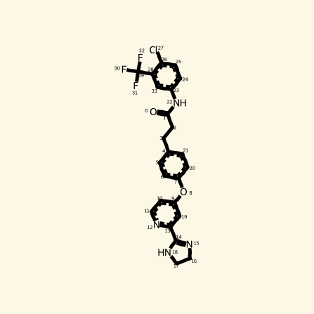 O=C(CCc1ccc(Oc2ccnc(C3=NCCN3)c2)cc1)Nc1ccc(Cl)c(C(F)(F)F)c1